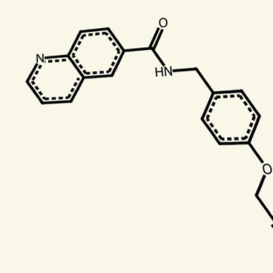 C#CCOc1ccc(CNC(=O)c2ccc3ncccc3c2)cc1